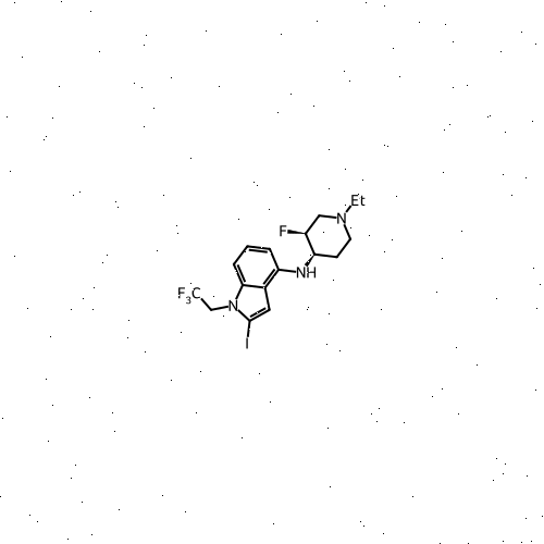 CCN1CC[C@@H](Nc2cccc3c2cc(I)n3CC(F)(F)F)[C@@H](F)C1